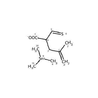 C=C(C)CC(C=S)C(=O)[O-].[CH3][Sn+]([CH3])[CH3]